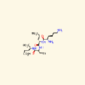 CC(C)C[C@H](NC(=O)[C@H](CCC(=O)O)NC(=O)[C@@H](N)CCCCN)C(=O)N[C@@H](CCC(=O)O)C(=O)O